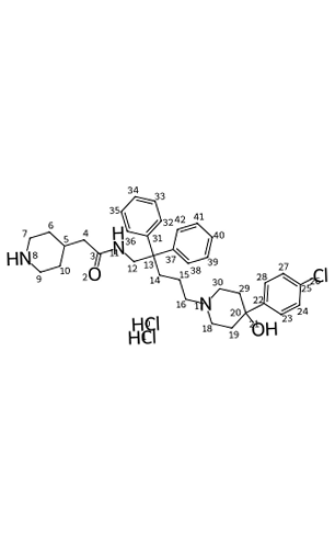 Cl.Cl.O=C(CC1CCNCC1)NCC(CCCN1CCC(O)(c2ccc(Cl)cc2)CC1)(c1ccccc1)c1ccccc1